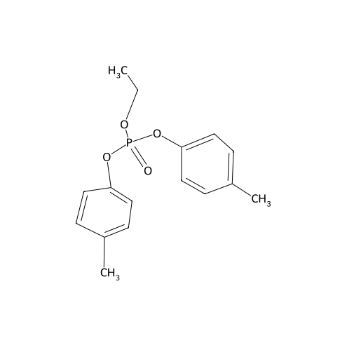 CCOP(=O)(Oc1ccc(C)cc1)Oc1ccc(C)cc1